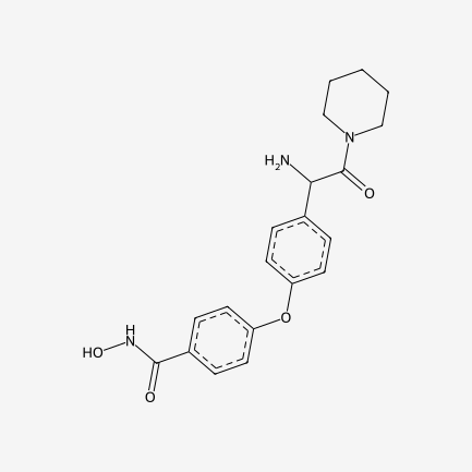 NC(C(=O)N1CCCCC1)c1ccc(Oc2ccc(C(=O)NO)cc2)cc1